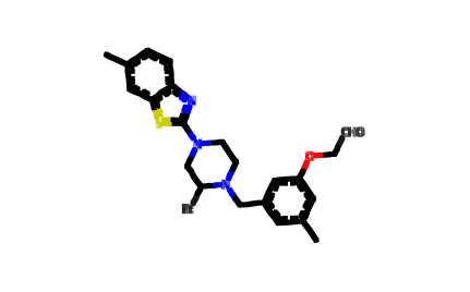 CCC1CN(c2nc3ccc(C)cc3s2)CCN1Cc1cc(C)cc(OCC=O)c1